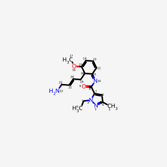 CCn1nc(C)cc1C(=O)/N=C1/C=CC=C(OC)C1C/C=C/CN